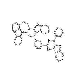 C1=Cc2cccc3c4ccccc4n(c23)-c2cc(-c3cccc(-c4nc(-c5ccccc5)c5oc6ccccc6c5n4)c3)c3c(sc4ccccc43)c21